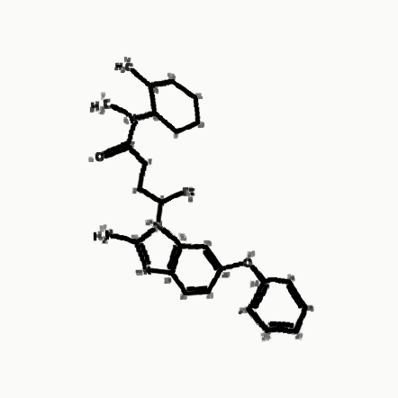 CCC(CCC(=O)N(C)C1CCCCC1C)n1c(N)nc2ccc(Oc3ccccc3)cc21